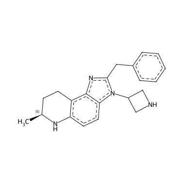 C[C@H]1CCc2c(ccc3c2nc(Cc2ccccc2)n3C2CNC2)N1